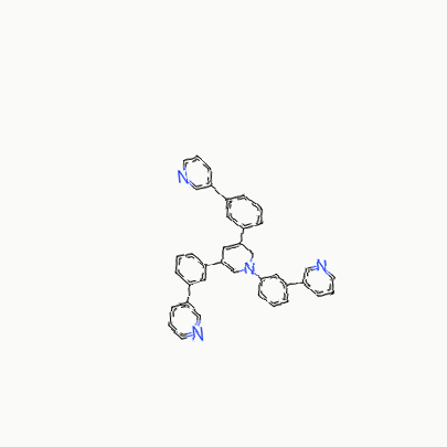 C1=C(c2cccc(-c3cccnc3)c2)C=C(c2cccc(-c3cccnc3)c2)CN1c1cccc(-c2cccnc2)c1